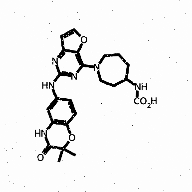 CC1(C)Oc2ccc(Nc3nc(N4CCCC(NC(=O)O)CC4)c4occc4n3)cc2NC1=O